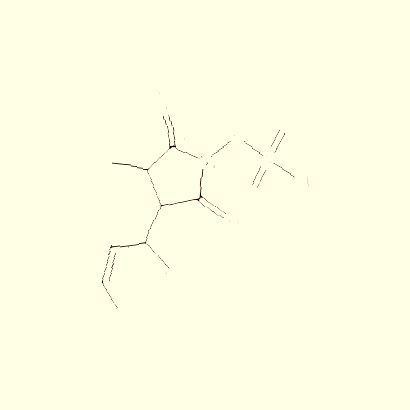 C/C=C\C(C)C1C(=O)N(OS(=O)(=O)C(F)(F)F)C(=O)C1C